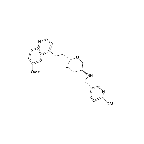 COc1ccc2nccc(CC[C@H]3OC[C@H](NCc4ccc(OC)nc4)CO3)c2c1